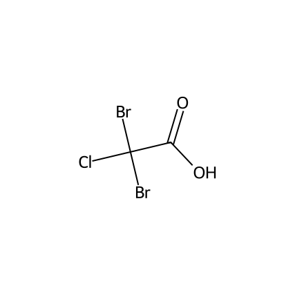 O=C(O)C(Cl)(Br)Br